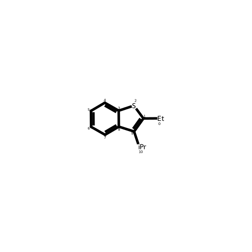 CCc1sc2ccccc2c1C(C)C